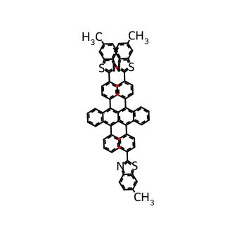 Cc1ccc2nc(-c3ccc(-c4c5ccccc5c(-c5ccc(-c6nc7ccc(C)cc7s6)cc5)c5c(-c6ccc(-c7nc8ccc(C)cc8s7)cc6)c6ccccc6c(-c6ccccc6)c45)cc3)sc2c1